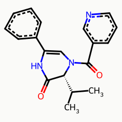 CC(C)[C@@H]1C(=O)NC(c2ccccc2)=CN1C(=O)c1cccnc1